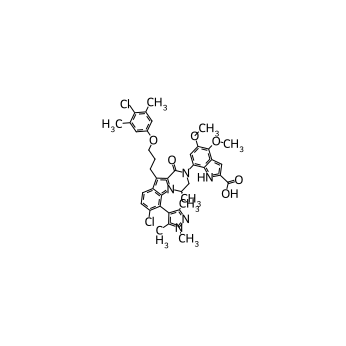 COc1cc(N2C[C@@H](C)n3c(c(CCCOc4cc(C)c(Cl)c(C)c4)c4ccc(Cl)c(-c5c(C)nn(C)c5C)c43)C2=O)c2[nH]c(C(=O)O)cc2c1OC